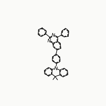 CC1(C)c2ccccc2N(c2ccc(-c3ccc4c(-c5ccccc5)nc(-c5ccccc5)nc4c3)cc2)c2ccccc21